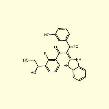 N#Cc1cccc(C(=O)C(C(=O)c2cccc([C@@H](O)CO)c2F)=C2Nc3ccccc3N2)c1